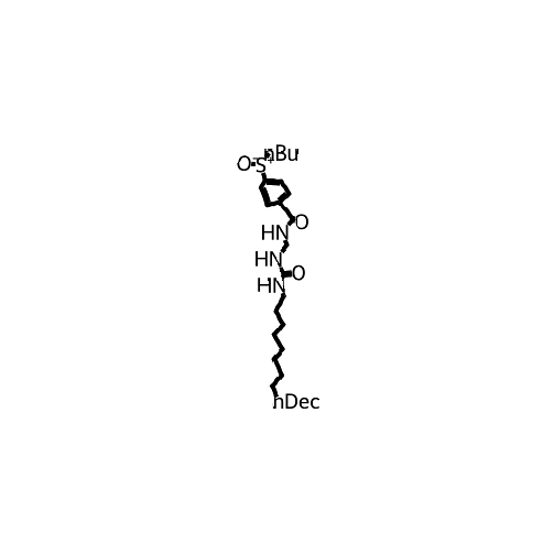 CCCCCCCCCCCCCCCCCCNC(=O)NCNC(=O)c1ccc([S+]([O-])CCCC)cc1